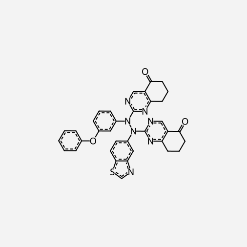 O=C1CCCc2nc(N(c3cccc(Oc4ccccc4)c3)N(c3ccc4scnc4c3)c3ncc4c(n3)CCCC4=O)ncc21